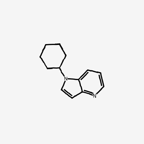 c1cnc2ccn(C3CCCCC3)c2c1